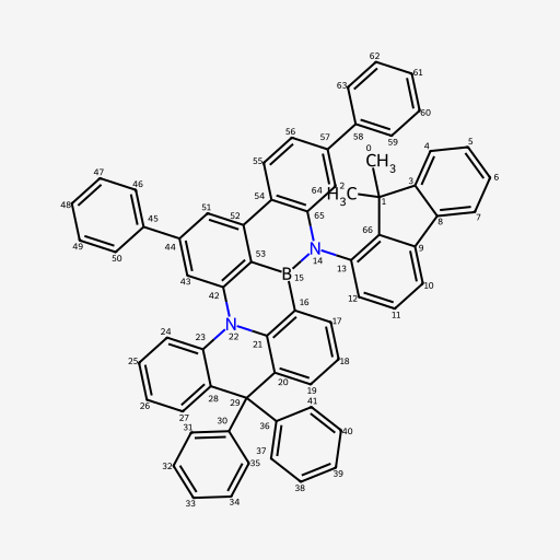 CC1(C)c2ccccc2-c2cccc(N3B4c5cccc6c5N(c5ccccc5C6(c5ccccc5)c5ccccc5)c5cc(-c6ccccc6)cc(c54)-c4ccc(-c5ccccc5)cc43)c21